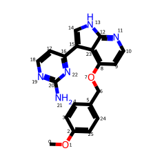 COc1ccc(COc2ccnc3[nH]cc(-c4ccnc(N)n4)c23)cc1